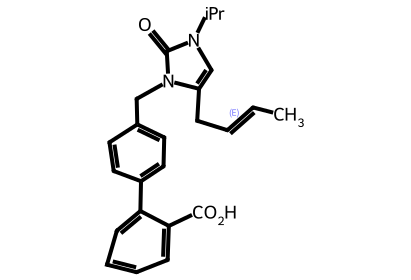 C/C=C/Cc1cn(C(C)C)c(=O)n1Cc1ccc(-c2ccccc2C(=O)O)cc1